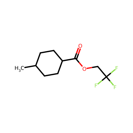 CC1CCC(C(=O)OCC(F)(F)F)CC1